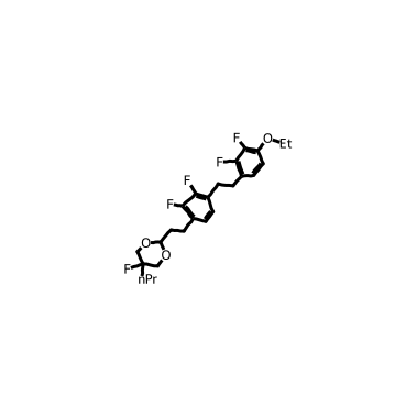 CCCC1(F)COC(CCc2ccc(CCc3ccc(OCC)c(F)c3F)c(F)c2F)OC1